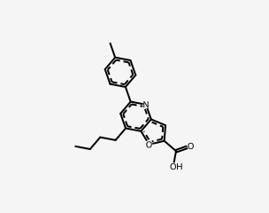 CCCCc1cc(-c2ccc(C)cc2)nc2cc(C(=O)O)oc12